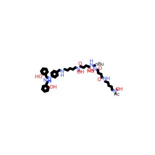 CCCCC(NC(=O)CCC(=O)N(O)CCCCCNCc1ccc(-n2nc(-c3ccccc3O)nc2-c2ccccc2O)cc1)N(O)C(=O)CCC(=O)NCCCCCN(O)C(C)=O